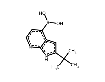 CC(C)(C)c1cc2c(B(O)O)ccnc2[nH]1